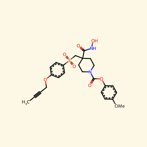 CC#CCOc1ccc(S(=O)(=O)CC2(C(=O)NO)CCN(C(=O)Oc3ccc(OC)cc3)CC2)cc1